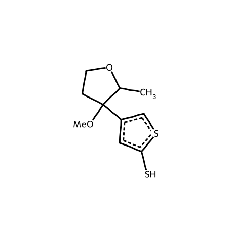 COC1(c2csc(S)c2)CCOC1C